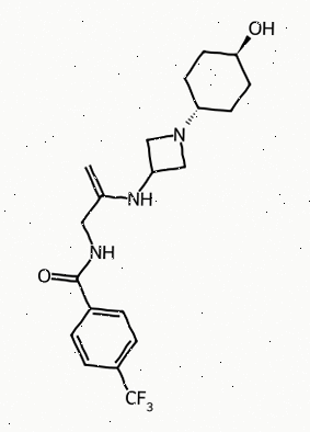 C=C(CNC(=O)c1ccc(C(F)(F)F)cc1)NC1CN([C@H]2CC[C@H](O)CC2)C1